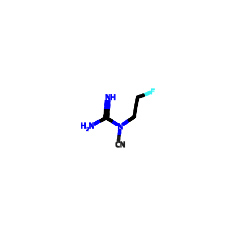 N#CN(CCF)C(=N)N